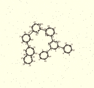 c1ccc(-c2cc(-c3ccccc3)nc(-c3cccc(-c4nccc(-c5cccc(-c6ccc7ccccc7c6)c5)n4)n3)n2)cc1